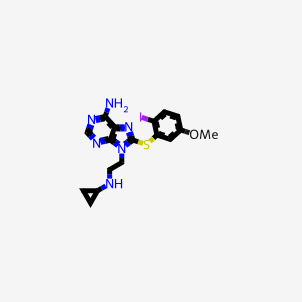 COc1ccc(I)c(Sc2nc3c(N)ncnc3n2CCNC2CC2)c1